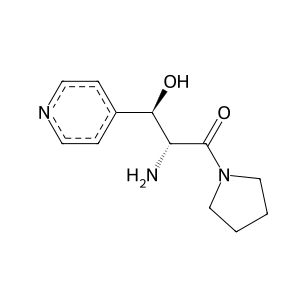 N[C@@H](C(=O)N1CCCC1)[C@H](O)c1ccncc1